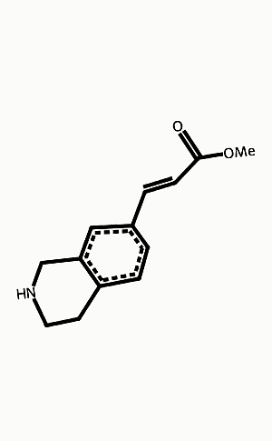 COC(=O)C=Cc1ccc2c(c1)CNCC2